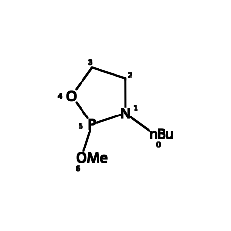 CCCCN1CCOP1OC